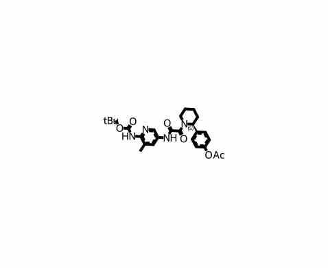 CC(=O)Oc1ccc([C@@H]2CCCCN2C(=O)C(=O)Nc2cnc(NC(=O)OC(C)(C)C)c(C)c2)cc1